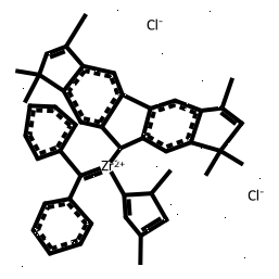 CC1=CC(C)[C]([Zr+2](=[C](c2ccccc2)c2ccccc2)[CH]2c3cc4c(cc3-c3cc5c(cc32)C(C)(C)C=C5C)C(C)=CC4(C)C)=C1.[Cl-].[Cl-]